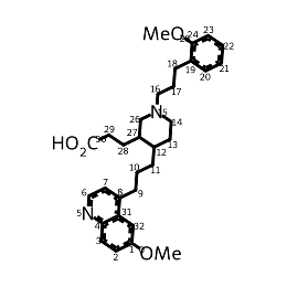 COc1ccc2nccc(CCCC3CCN(CCCc4ccccc4OC)CC3CCC(=O)O)c2c1